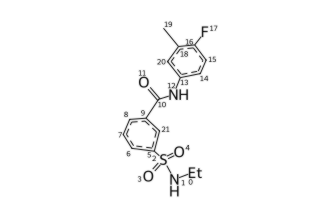 CCNS(=O)(=O)c1cccc(C(=O)Nc2ccc(F)c(C)c2)c1